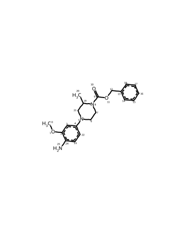 COc1cc(N2CCN(C(=O)OCc3ccccc3)C(C)C2)ccc1N